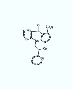 O=C(O)c1ccccc1C(=O)c1ccccc1NCC(O)c1ccccn1